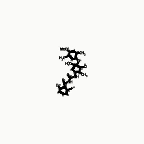 COc1cc(C)c(Oc2c(C)cc(NC(=O)NC(=O)c3c(F)cccc3F)c(C)c2Cl)cc1C